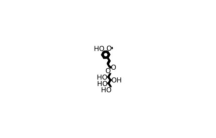 COc1cc(C=CC(=O)OCC(O)C(O)C(O)CO)ccc1O